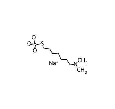 CN(C)CCCCCCCSS(=O)(=O)[O-].[Na+]